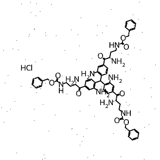 Cl.Nc1cc(C(=O)[C@@H](N)CCNC(=O)OCc2ccccc2)ccc1C(c1ccc(C(=O)[C@@H](N)CCNC(=O)OCc2ccccc2)cc1N)c1ccc(C(=O)[C@@H](N)CCNC(=O)OCc2ccccc2)cc1N